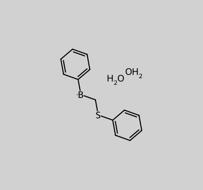 O.O.[B](CSc1ccccc1)c1ccccc1